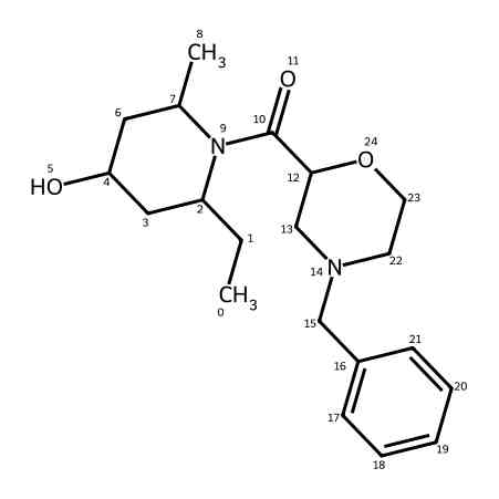 CCC1CC(O)CC(C)N1C(=O)C1CN(Cc2ccccc2)CCO1